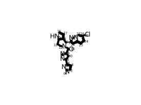 Cn1ccc(C2=NN=C(C(=O)N3CCc4[nH]ccc4[C@H]3c3cc4ccc(Cl)cn4n3)C2)n1